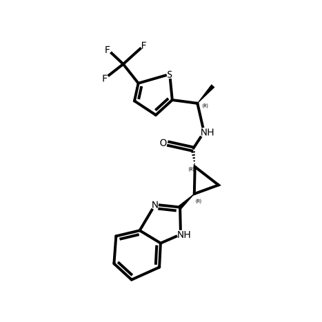 C[C@@H](NC(=O)[C@@H]1C[C@H]1c1nc2ccccc2[nH]1)c1ccc(C(F)(F)F)s1